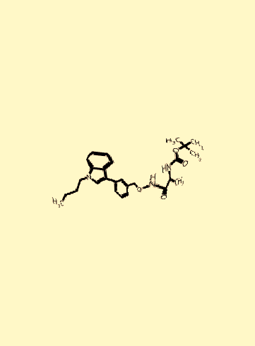 CCCCn1cc(-c2cccc(CONC(=O)C(C)NC(=O)OC(C)(C)C)c2)c2ccccc21